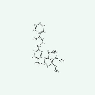 COc1cc(/C=C\c2ccc(N/C=C\C(O)c3ccccc3)cc2)cc(OC)c1OC